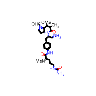 CN[C@@H](CCCNC(N)=O)C(=O)Nc1ccc(CC(CN)NC(=O)C(C)C(OC)C2CCCN2C=O)cc1